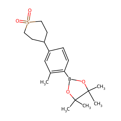 Cc1cc(C2CCS(=O)(=O)CC2)ccc1B1OC(C)(C)C(C)(C)O1